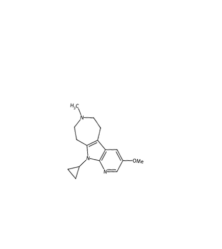 COc1cnc2c(c1)c1c(n2C2CC2)CCN(C)CC1